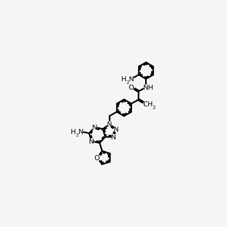 C=C(C(=O)Nc1ccccc1N)c1ccc(Cn2nnc3c(-c4ccco4)nc(N)nc32)cc1